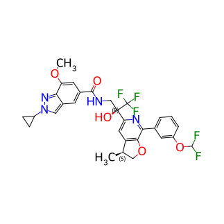 COc1cc(C(=O)NC[C@@](O)(c2cc3c(c(-c4cccc(OC(F)F)c4)n2)OC[C@H]3C)C(F)(F)F)cc2cn(C3CC3)nc12